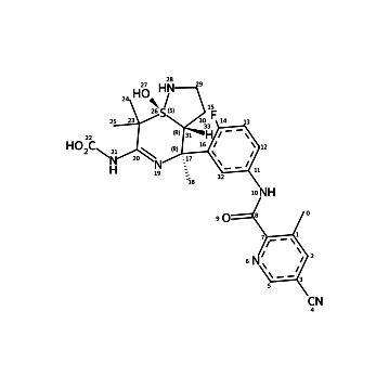 Cc1cc(C#N)cnc1C(=O)Nc1ccc(F)c([C@@]2(C)N=C(NC(=O)O)C(C)(C)[S@]3(O)NCC[C@H]23)c1